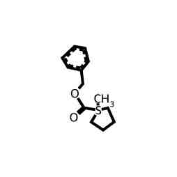 CS1(C(=O)OCc2ccccc2)CCCC1